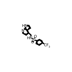 O=S(=O)(NCc1ccnc2[nH]ccc12)c1ccc(C(F)(F)F)cc1